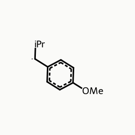 COc1ccc([CH]C(C)C)cc1